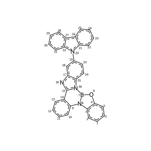 c1ccc2c(c1)OB1N2c2ccccc2-c2nc3cc(-n4c5ccccc5c5ccccc54)ccc3n21